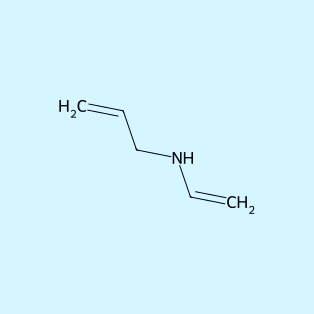 C=CCNC=C